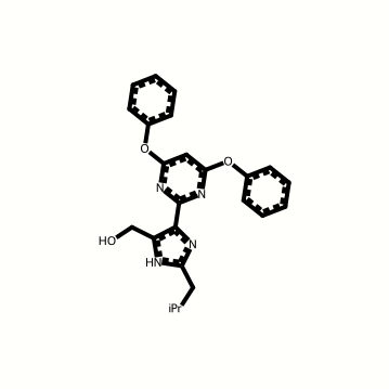 CC(C)Cc1nc(-c2nc(Oc3ccccc3)cc(Oc3ccccc3)n2)c(CO)[nH]1